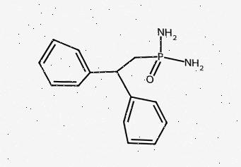 NP(N)(=O)CC(c1ccccc1)c1ccccc1